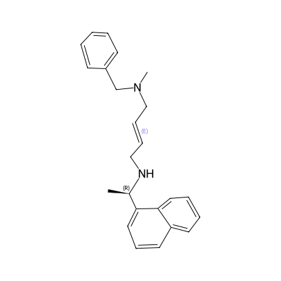 C[C@@H](NC/C=C/CN(C)Cc1ccccc1)c1cccc2ccccc12